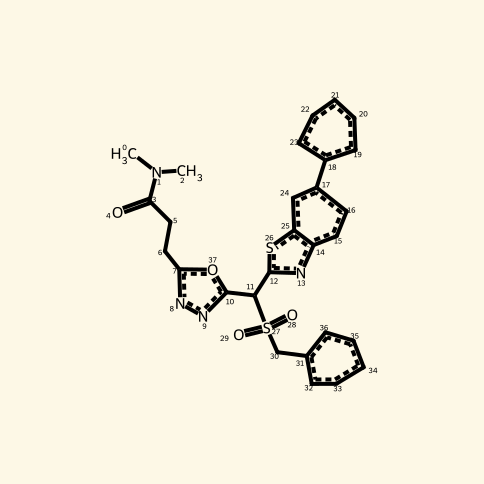 CN(C)C(=O)CCc1nnc(C(c2nc3ccc(-c4ccccc4)cc3s2)S(=O)(=O)Cc2ccccc2)o1